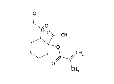 C=C(C)C(=O)OC1(C(C)C)CCCCC1C(=O)CO